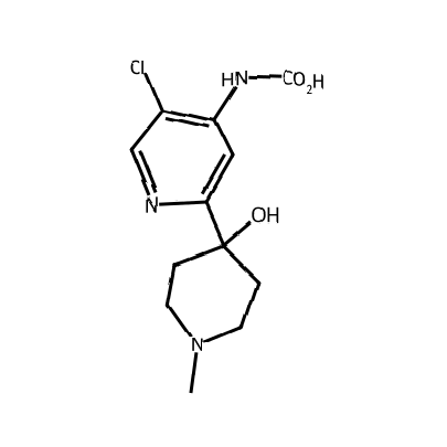 CN1CCC(O)(c2cc(NC(=O)O)c(Cl)cn2)CC1